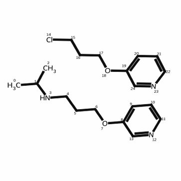 CC(C)NCCCOc1cccnc1.ClCCCOc1cccnc1